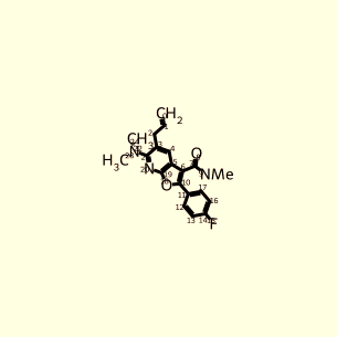 C=CCc1cc2c(C(=O)NC)c(-c3ccc(F)cc3)oc2nc1N(C)C